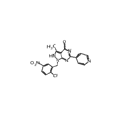 Cc1[nH]n(Cc2cc([N+](=O)[O-])ccc2Cl)c2nc(-c3ccncc3)nc(=O)c1-2